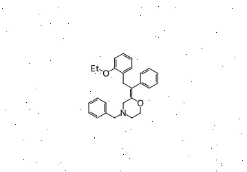 CCOc1ccccc1CC(=C1CN(Cc2ccccc2)CCO1)c1ccccc1